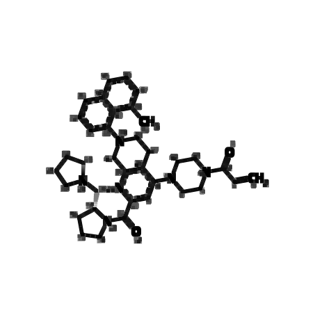 C=CC(=O)N1CCN(c2cc(C(=O)N3CCC[C@@H]3CN3CCCC3)nc3c2CCN(c2cccc4cccc(C)c24)C3)CC1